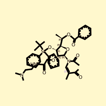 CC(=O)/C(C)=C\N(C(C)=O)[C@@H]1O[C@H]([C@@H](C)OC(=O)c2ccccc2)[C@@H](O[Si](c2ccccc2)(c2ccccc2)C(C)(C)C)[C@H]1OCC(=O)NCCN(C)C